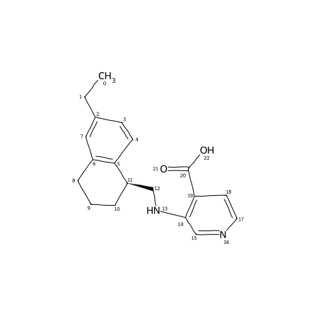 CCc1ccc2c(c1)CCC[C@@H]2CNc1cnccc1C(=O)O